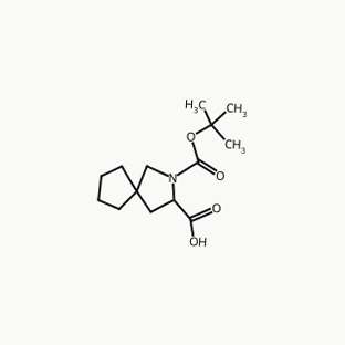 CC(C)(C)OC(=O)N1CC2(CCCC2)CC1C(=O)O